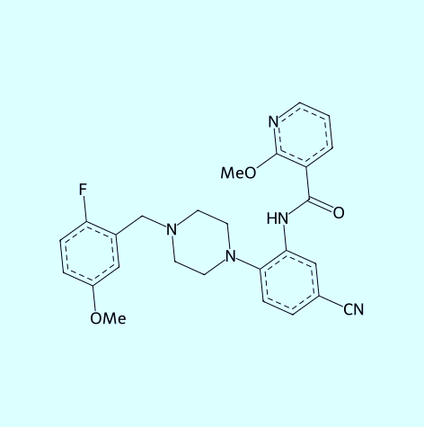 COc1ccc(F)c(CN2CCN(c3ccc(C#N)cc3NC(=O)c3cccnc3OC)CC2)c1